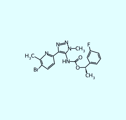 Cc1nc(-c2nnn(C)c2NC(=O)O[C@H](C)c2cccc(F)c2)ccc1Br